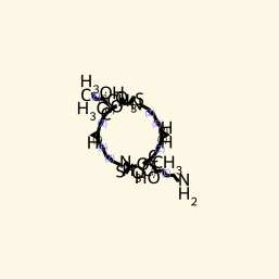 C/C=C/[C@H](O)C(C)(C)[C@@H]1C/C=C\C2C[C@@H]2/C=C/C=C\c2nc(cs2)C(=O)O[C@H](C(C)(C)[C@@H](O)/C=C/CCN)C/C=C\[C@H]2C[C@H]2/C=C/C=C\c2nc(cs2)C(=O)O1